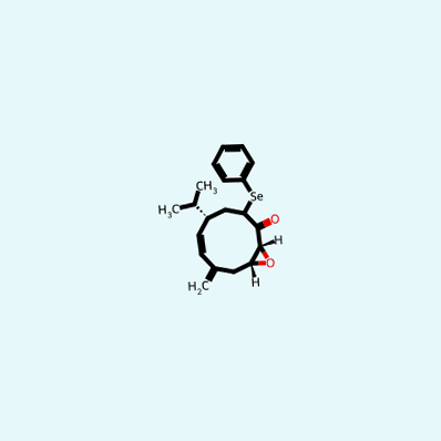 C=C1C=C[C@H](C(C)C)CC([Se]c2ccccc2)C(=O)[C@@H]2O[C@@H]2C1